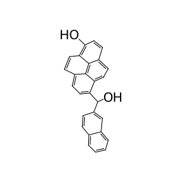 Oc1ccc2ccc3c(C(O)c4ccc5ccccc5c4)ccc4ccc1c2c43